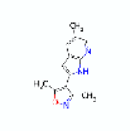 Cc1cnc2[nH]c(-c3c(C)noc3C)cc2c1